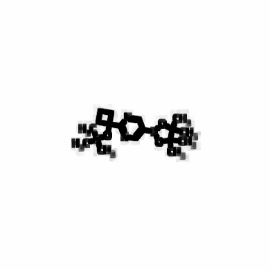 CC1(C)OB(c2cnc(C3(O[Si](C)(C)C)CCC3)nc2)OC1(C)C